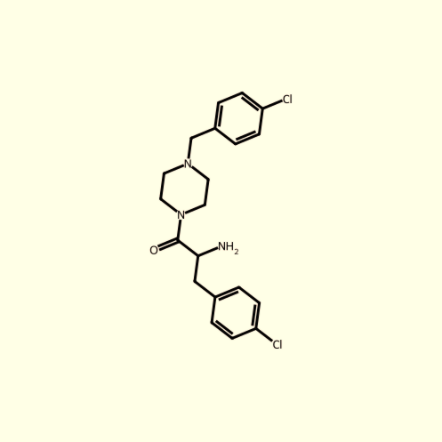 NC(Cc1ccc(Cl)cc1)C(=O)N1CCN(Cc2ccc(Cl)cc2)CC1